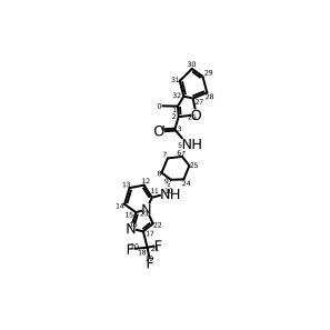 Cc1c(C(=O)N[C@H]2CC[C@@H](Nc3cccc4nc(C(F)(F)F)cn34)CC2)oc2ccccc12